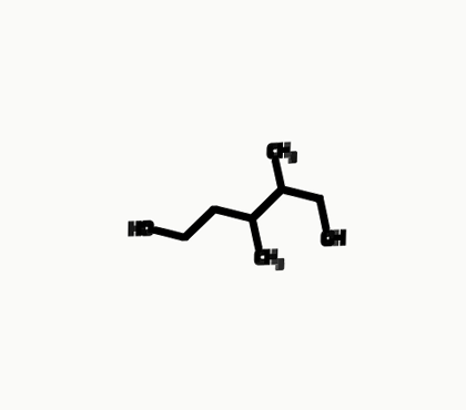 CC(CO)C(C)CCO